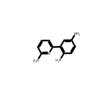 Nc1ccc(N)c(-c2cccc([N+](=O)[O-])n2)c1